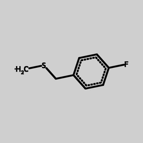 [CH2]SCc1ccc(F)cc1